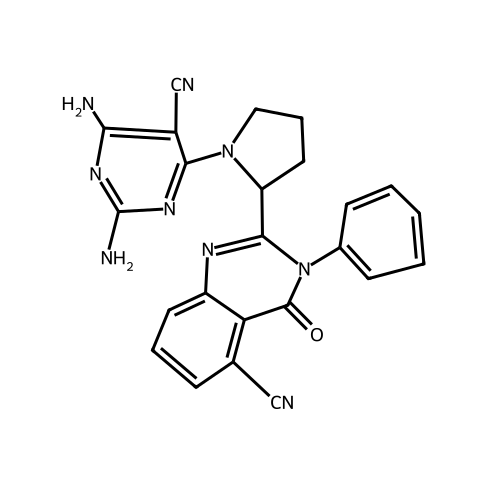 N#Cc1c(N)nc(N)nc1N1CCCC1c1nc2cccc(C#N)c2c(=O)n1-c1ccccc1